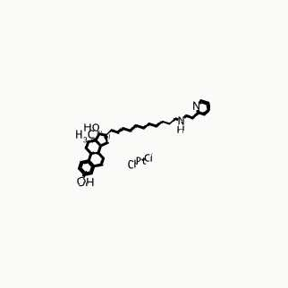 C[C@]12CCC3c4ccc(O)cc4CCC3C1C[C@H](CCCCCCCCCCCNCCc1ccccn1)[C@@H]2O.[Cl][Pt][Cl]